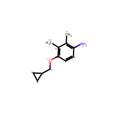 Cc1c(N)ccc(OCC2CC2)c1C